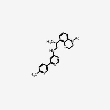 CC(=O)N1CCOc2c([C@H](C)CNc3cc(-c4ccc(C)nc4)ncn3)cccc21